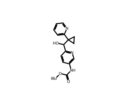 CC(C)(C)OC(=O)Nc1ccc(C(O)C2(c3ccccn3)CC2)nc1